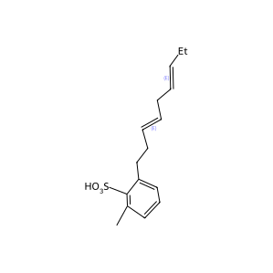 CC/C=C/C/C=C/CCc1cccc(C)c1S(=O)(=O)O